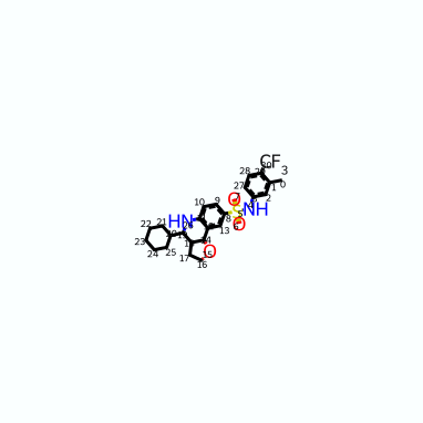 Cc1cc(NS(=O)(=O)c2ccc3c(c2)C2OCCC2C(C2CCCCC2)N3)ccc1C(F)(F)F